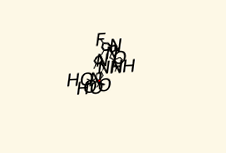 CNCC(Cn1c(C)nc2cc(F)cc(-c3ccc(C)c(N[C@H]4C[C@@H](C(=O)O)N(C(=O)O)C4)n3)c21)OC